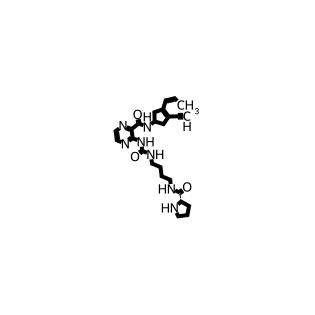 C#CC1=C(/C=C\C)CC(NC(=O)c2nccnc2NC(=O)NCCCCNC(=O)[C@@H]2CCCN2)C1